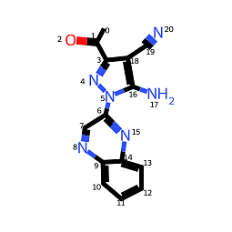 CC(=O)c1nn(-c2cnc3ccccc3n2)c(N)c1C#N